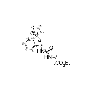 CCOC(=O)CNC(=O)NCc1ccccc1C1(C)CC=CO1